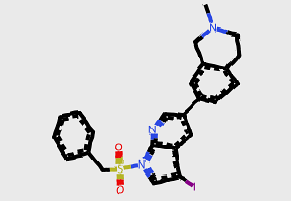 CN1CCc2ccc(-c3cnc4c(c3)c(I)cn4S(=O)(=O)Cc3ccccc3)cc2C1